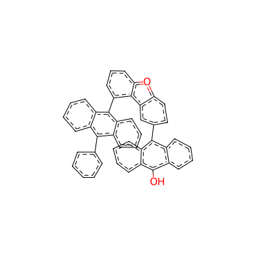 Oc1c2ccccc2c(-c2ccc3oc4cccc(-c5c6ccccc6c(-c6ccccc6)c6ccccc56)c4c3c2)c2ccccc12